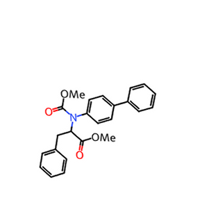 COC(=O)C(Cc1ccccc1)N(C(=O)OC)c1ccc(-c2ccccc2)cc1